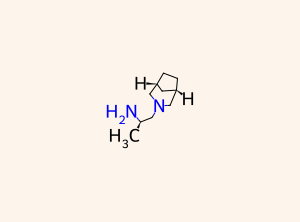 C[C@@H](N)CN1C[C@@H]2CC[C@@H](C2)C1